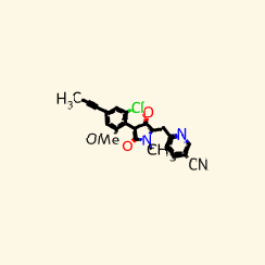 CC#Cc1cc(Cl)c(C2C(=O)C(Cc3ccc(C#N)cn3)N(C)C2=O)c(OC)c1